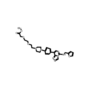 CC(C)(C)OC(=O)COCCOCCN1CCN(c2ccc(-c3cnc(NCc4ccco4)n4cnnc34)cc2)CC1